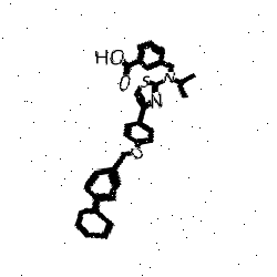 CC(C)N(Cc1cccc(C(=O)O)c1)c1nc(-c2ccc(OCc3ccc(C4CCCCC4)cc3)cc2)cs1